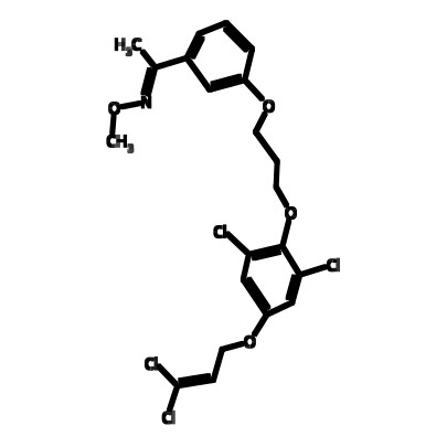 CON=C(C)c1cccc(OCCCOc2c(Cl)cc(OCC=C(Cl)Cl)cc2Cl)c1